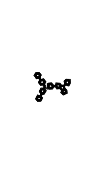 c1ccc(-c2ccc(N(c3ccc(-c4ccccc4)cc3)c3ccc(-c4ccc5c(c4)-c4ccccc4C5c4ccccc4)cc3)cc2)cc1